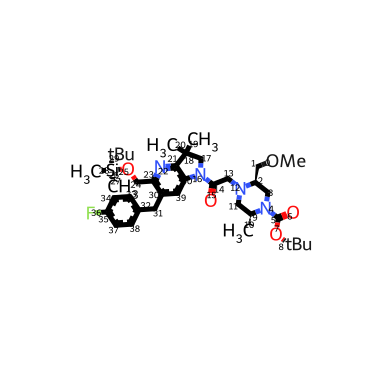 COC[C@H]1CN(C(=O)OC(C)(C)C)[C@H](C)CN1CC(=O)N1CC(C)(C)c2nc(CO[Si](C)(C)C(C)(C)C)c(Cc3ccc(F)cc3)cc21